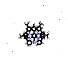 Cc1ccc(-c2c(-n3c4ccc(C(C)C)cc4c4cc(C(C)C)ccc43)c(-n3c4c(c5ccccc53)=CC=C=4)c(C#N)c(-n3c4ccccc4c4ccccc43)c2-n2c3ccc(C(C)C)cc3c3cc(C(C)C)ccc32)cc1